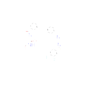 O=C1CCC(N2Cc3c(OCc4ccc(CN5CCN(Sc6ccc(F)c(F)c6)CC5)cc4)cccc3C2=O)C(=O)N1